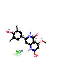 COc1cc(O)nc2cc(-c3cc(C)c(O)c(C)c3)[nH]c(=O)c12.Cl.Cl